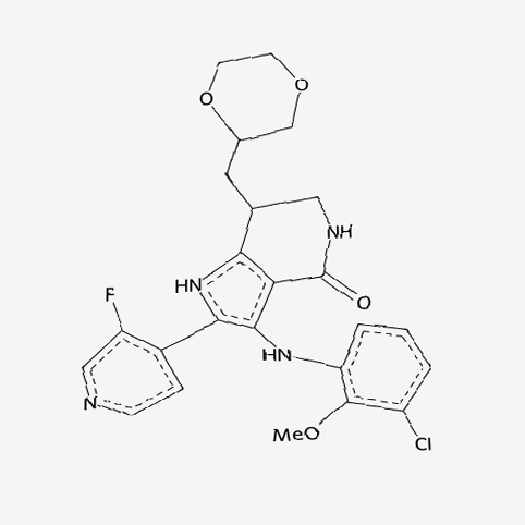 COc1c(Cl)cccc1Nc1c(-c2ccncc2F)[nH]c2c1C(=O)NCC2CC1COCCO1